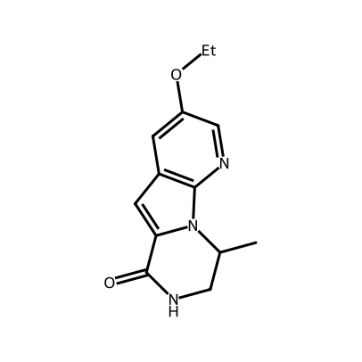 CCOc1cnc2c(c1)cc1n2C(C)CNC1=O